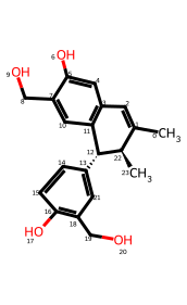 CC1=Cc2cc(O)c(CO)cc2[C@@H](c2ccc(O)c(CO)c2)[C@@H]1C